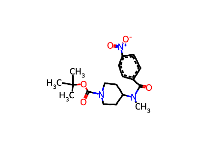 CN(C(=O)c1ccc([N+](=O)[O-])cc1)C1CCN(C(=O)OC(C)(C)C)CC1